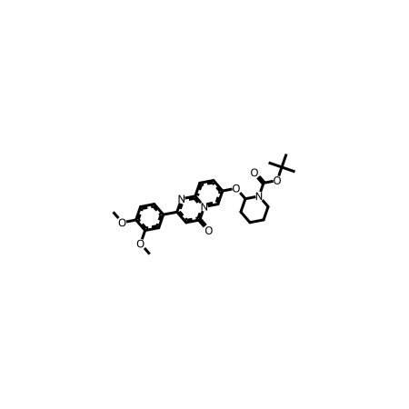 COc1ccc(-c2cc(=O)n3cc(OC4CCCCN4C(=O)OC(C)(C)C)ccc3n2)cc1OC